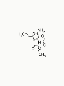 C=CCc1nc(N)c2c(n1)N(C(C=O)OCC)C(=O)CO2